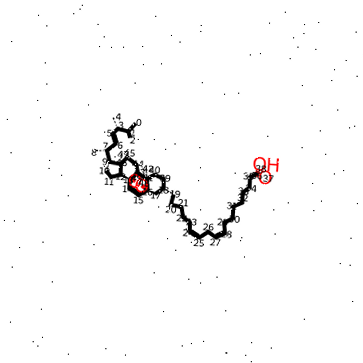 CC(C)[C@@H](C)C=C[C@@H](C)[C@H]1CCC2[C@@]34C=C[C@]5(C[C@@H](CCCCC/C=C\C/C=C\CCCCCCCC(=O)O)CC[C@]5(C)C3CC[C@@]21C)OO4